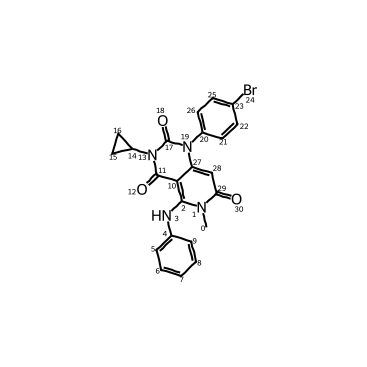 Cn1c(Nc2ccccc2)c2c(=O)n(C3CC3)c(=O)n(-c3ccc(Br)cc3)c2cc1=O